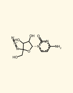 [N-]=[N+]=NC1(CO)O[C@@H](n2ccc(N)nc2=O)C(O)C1O